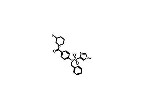 Cn1cnc(S(=O)(=O)N(Cc2ccccc2)c2ccc(C(=O)N3CCCC(F)C3)cc2)c1